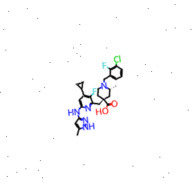 Cc1cc(Nc2cc(C3CC3)c(F)c(C[C@@]3(C(=O)O)CCN(Cc4cccc(Cl)c4F)[C@H](C)C3)n2)n[nH]1